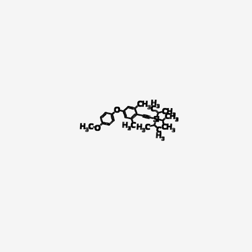 COc1ccc(Oc2cc(C)c(C#C[Si](C(C)C)(C(C)C)C(C)C)c(C)c2)cc1